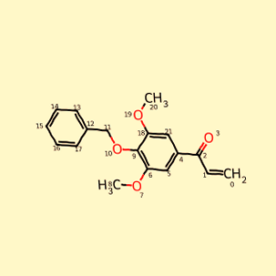 C=CC(=O)c1cc(OC)c(OCc2ccccc2)c(OC)c1